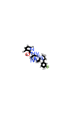 Cc1cccnc1C(=O)Nc1cnn2ccc(N3CCCC3c3cccc(F)c3)nc12